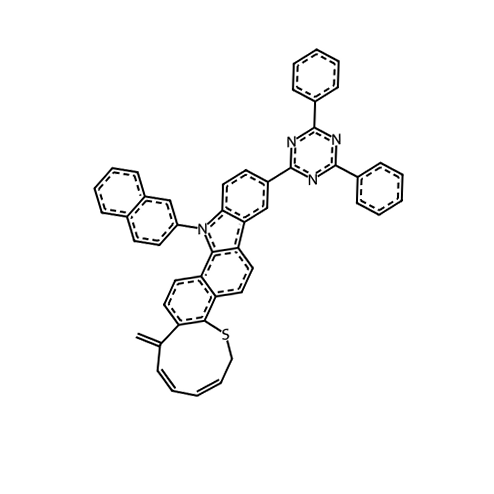 C=C1/C=C\C=C/CSc2c1ccc1c2ccc2c3cc(-c4nc(-c5ccccc5)nc(-c5ccccc5)n4)ccc3n(-c3ccc4ccccc4c3)c12